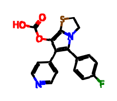 O=C(O)Oc1c(-c2ccncc2)c(-c2ccc(F)cc2)n2c1SCC2